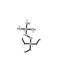 CC[Si](CC)(CC)OO[Si](O)(O)O